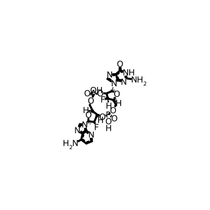 Nc1nc2c(ncn2[C@@H]2O[C@@H]3COP(=O)(O)O[C@@H]4C(F)[C@H](n5cnc6c(N)ccnc65)O[C@@H]4COP(=O)(O)OC2[C@H]3F)c(=O)[nH]1